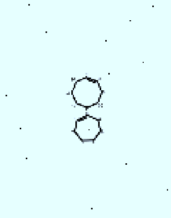 C1=CCCCCC1.C1=C\CCCCCC/1